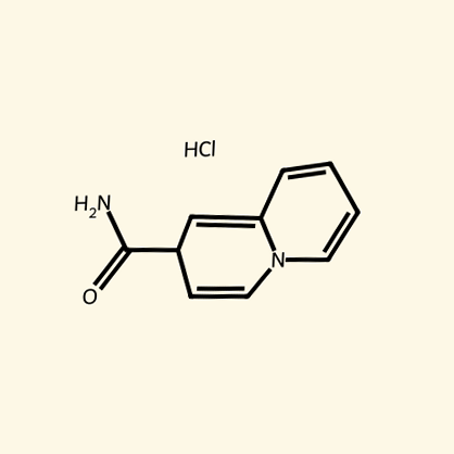 Cl.NC(=O)C1C=CN2C=CC=CC2=C1